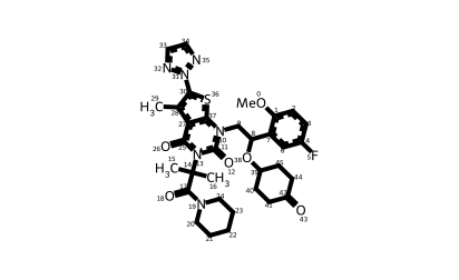 COc1ccc(F)cc1C(Cn1c(=O)n(C(C)(C)C(=O)N2CCCCC2)c(=O)c2c(C)c(-n3nccn3)sc21)OC1CCC(=O)CC1